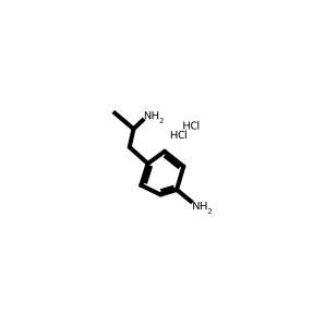 CC(N)Cc1ccc(N)cc1.Cl.Cl